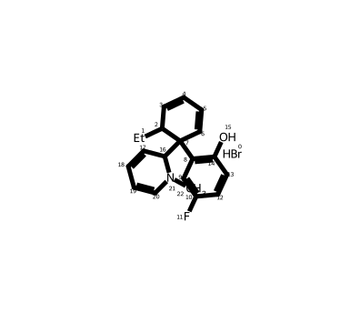 Br.CCC1C=CC=CC1(c1cc(F)ccc1O)C1C=CC=CN1C